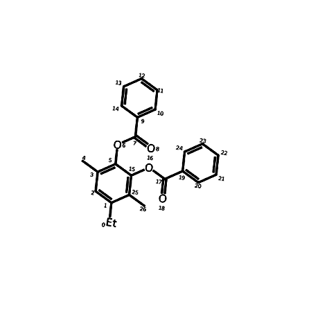 CCc1cc(C)c(OC(=O)c2ccccc2)c(OC(=O)c2ccccc2)c1C